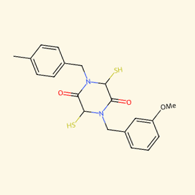 COc1cccc(CN2C(=O)C(S)N(Cc3ccc(C)cc3)C(=O)C2S)c1